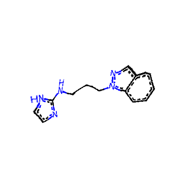 c1ccc2c(c1)cnn2CCCNc1ncc[nH]1